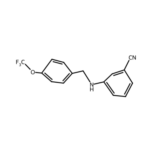 N#Cc1cccc(NCc2ccc(OC(F)(F)F)cc2)c1